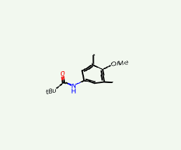 COc1c(C)cc(NC(=O)C(C)(C)C)cc1C